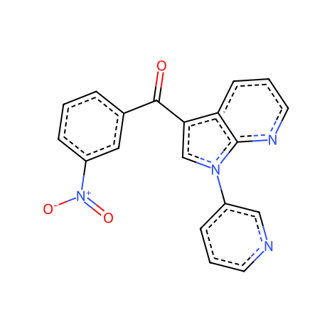 O=C(c1cccc([N+](=O)[O-])c1)c1cn(-c2cccnc2)c2ncccc12